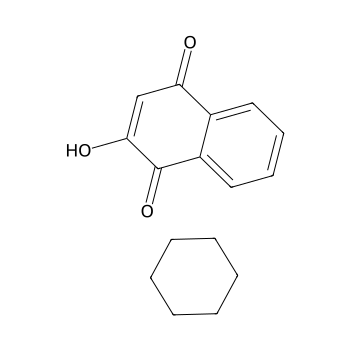 C1CCCCC1.O=C1C=C(O)C(=O)c2ccccc21